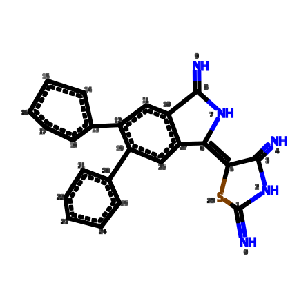 N=C1NC(=N)C(=C2NC(=N)c3cc(-c4ccccc4)c(-c4ccccc4)cc32)S1